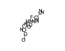 COCCOc1cnc2ccn([C@H](C)C(=O)NNc3ncc(-c4cnn(C)c4)cc3F)c(=O)c2c1